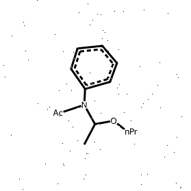 CCCOC(C)N(C(C)=O)c1ccccc1